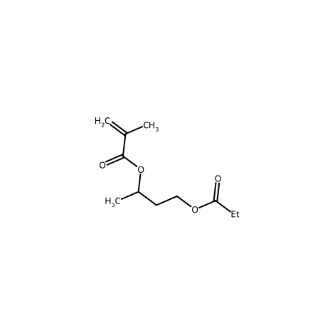 C=C(C)C(=O)OC(C)CCOC(=O)CC